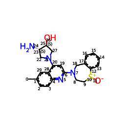 Cc1ccc2nc(N3CC[S+]([O-])c4ccccc4C3)cc(N3C[C@H](N)[C@@H](O)C3)c2c1